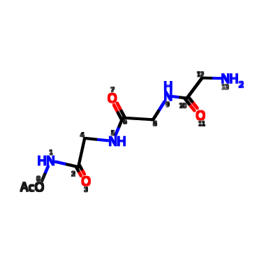 CC(=O)ONC(=O)CNC(=O)CNC(=O)CN